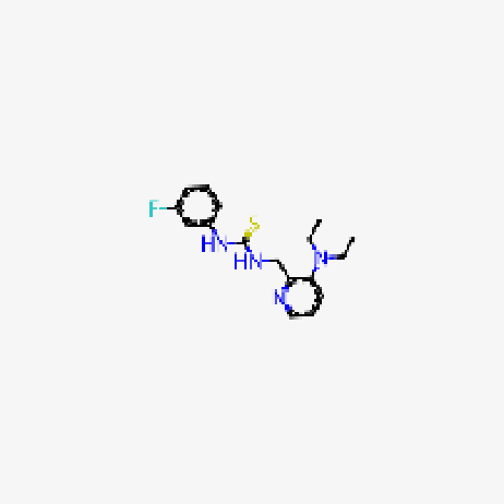 CCN(CC)c1cccnc1CNC(=S)Nc1cccc(F)c1